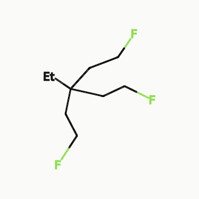 [CH2]CC(CCF)(CCF)CCF